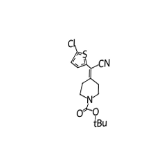 CC(C)(C)OC(=O)N1CCC(=C(C#N)c2ccc(Cl)s2)CC1